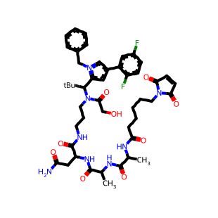 CC(NC(=O)CCCCCN1C(=O)C=CC1=O)C(=O)NC(C)C(=O)NC(CC(N)=O)C(=O)NCCCN(C(=O)CO)C(c1cc(-c2cc(F)ccc2F)cn1Cc1ccccc1)C(C)(C)C